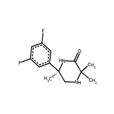 CC1(C)NC[C@@](C)(c2cc(F)cc(F)c2)NC1=O